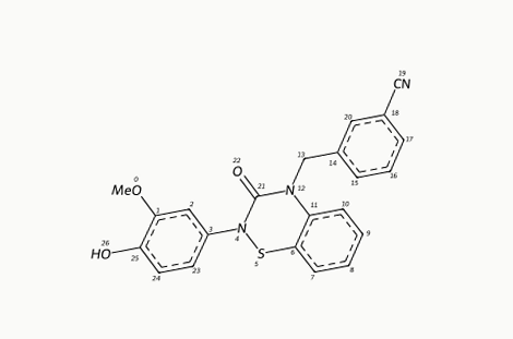 COc1cc(N2Sc3ccccc3N(Cc3cccc(C#N)c3)C2=O)ccc1O